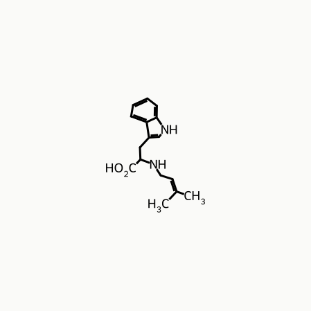 CC(C)=CCNC(Cc1c[nH]c2ccccc12)C(=O)O